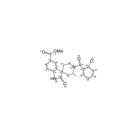 COC(=O)c1ccc2c(c1)C1(CCN(C(=O)c3ccccc3Cl)CC1)C(=O)N2